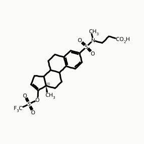 CN(CCC(=O)O)S(=O)(=O)c1ccc2c(c1)CCC1C2CC[C@]2(C)C(OS(=O)(=O)C(F)(F)F)=CCC12